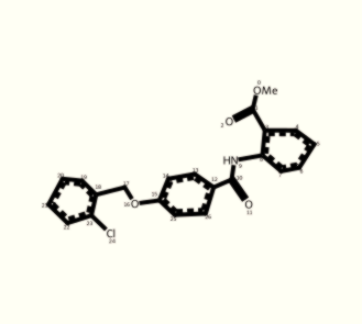 COC(=O)c1ccccc1NC(=O)c1ccc(OCc2ccccc2Cl)cc1